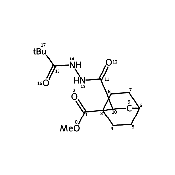 COC(=O)C12CCC(CC1)CC2C(=O)NNC(=O)C(C)(C)C